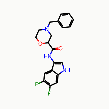 O=C(Nc1c[nH]c2cc(F)c(F)cc12)C1CN(Cc2ccccc2)CCO1